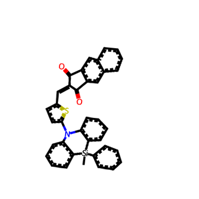 C[Si]1(c2ccccc2)c2ccccc2N(c2ccc(C=C3C(=O)c4cc5ccccc5cc4C3=O)s2)c2ccccc21